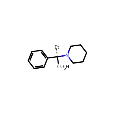 CC[C@](C(=O)O)(c1ccccc1)N1CCCCC1